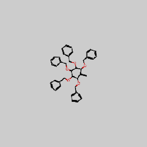 C=C1C(OCc2ccccc2)C(OCc2ccccc2)C(OCc2ccccc2)C(OCc2ccccc2)C1OCc1ccccc1